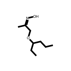 CCCC(CC)OC/C(C)=N\O